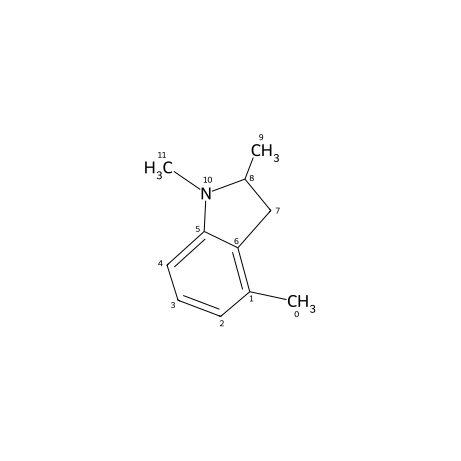 Cc1cccc2c1CC(C)N2C